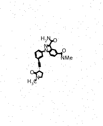 CNC(=O)c1ccc2c(c1)c(C(N)=O)nn2-c1cccc(C#C[C@@H]2CCN(C)C2=O)c1